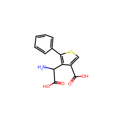 NC(C(=O)O)c1c(C(=O)O)csc1-c1ccccc1